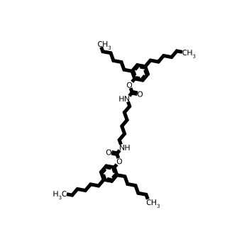 CCCCCCc1ccc(OC(=O)NCCCCCCNC(=O)Oc2ccc(CCCCCC)cc2CCCCCC)c(CCCCCC)c1